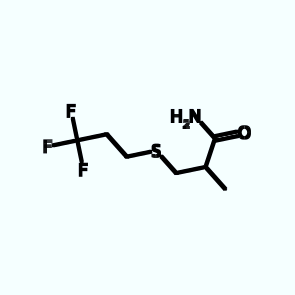 CC(CSCCC(F)(F)F)C(N)=O